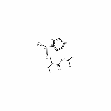 CCC(C)C(=O)OC(C)C.O=C(O)c1ccccc1